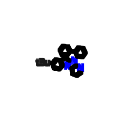 CC(C)(C)c1ccc2c(c1)CC1N2c2cccnc2N1c1ccccc1-c1ccccc1